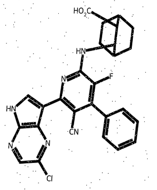 N#Cc1c(-c2c[nH]c3ncc(Cl)nc23)nc(NC2C3CCC(CC3)C2C(=O)O)c(F)c1-c1ccccc1